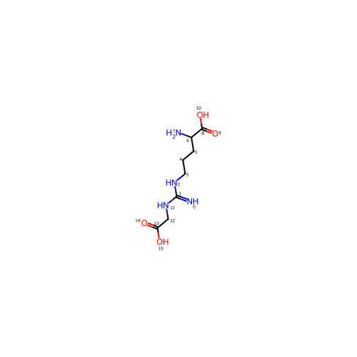 N=C(NCCCC(N)C(=O)O)NCC(=O)O